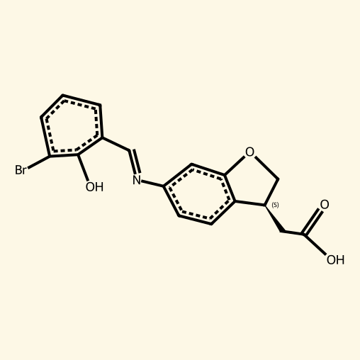 O=C(O)C[C@@H]1COc2cc(N=Cc3cccc(Br)c3O)ccc21